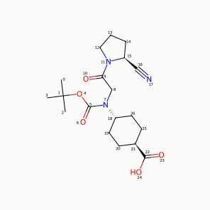 CC(C)(C)OC(=O)N(CC(=O)N1CCC[C@H]1C#N)[C@H]1CC[C@H](C(=O)O)CC1